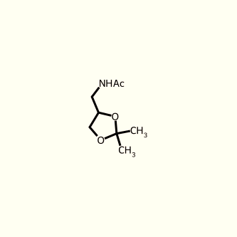 CC(=O)NCC1COC(C)(C)O1